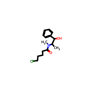 CC(C(O)c1ccccc1)N(C)C(=O)CCCCCl